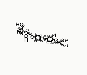 CC(C)(c1ccc(OC[C@H](O)Cn2nncc2CO)cc1)c1ccc(OC[C@@H](O)CCl)c(Cl)c1